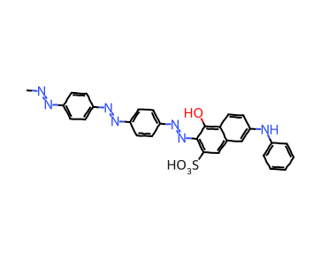 CN=Nc1ccc(N=Nc2ccc(N=Nc3c(S(=O)(=O)O)cc4cc(Nc5ccccc5)ccc4c3O)cc2)cc1